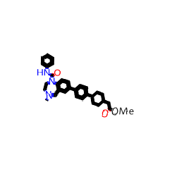 COC(=O)CC1CCC(c2ccc(-c3ccc4c(c3)CN(C)CCN4C(=O)Nc3ccccc3)cc2)CC1